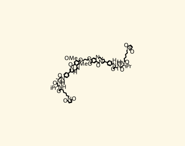 COc1cc2c(cc1OCCCOc1cc3c(cc1OC)C(=O)N1C=C(c4ccc(NC(=O)[C@H](C)NC(=O)[C@@H](NC(=O)CCCCCN5C(=O)C=CC5=O)C(C)C)cc4)C[C@@]1(C)C=N3)N=C[C@@H]1CC(c3ccc(NC(=O)[C@H](C)NC(=O)[C@@H](NC(=O)CCCCCN4C(=O)C=CC4=O)C(C)C)cc3)=CN1C2=O